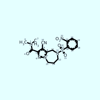 CN(C)C(=O)c1nn2c(c1C#N)CN(S(=O)(=O)c1ccccc1[N+](=O)[O-])CCC2